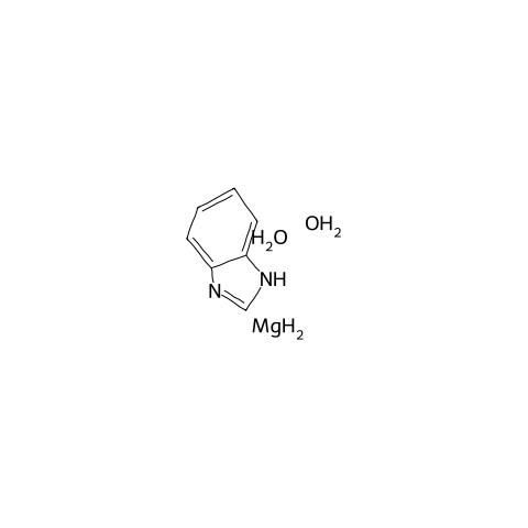 O.O.[MgH2].c1ccc2[nH]cnc2c1